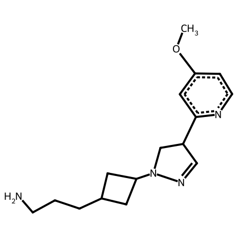 COc1ccnc(C2C=NN(C3CC(CCCN)C3)C2)c1